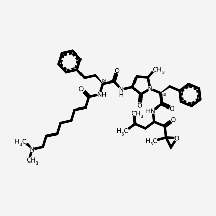 CC(C)CC(NC(=O)[C@H](Cc1ccccc1)N1C(=O)C(NC(=O)[C@H](CCc2ccccc2)NC(=O)CCCCCCCN(C)C)CC1C)C(=O)C1(C)CO1